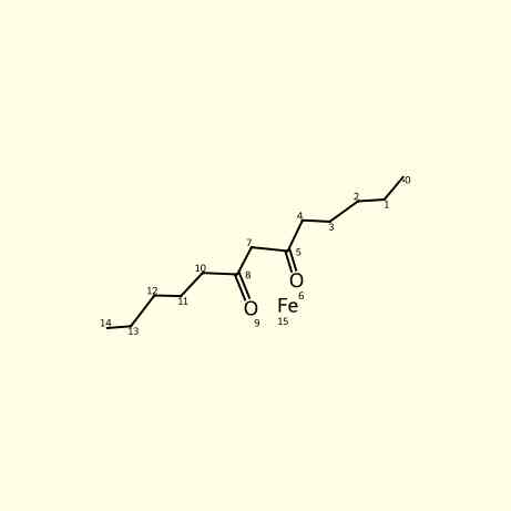 [CH2]CCCCC(=O)CC(=O)CCCCC.[Fe]